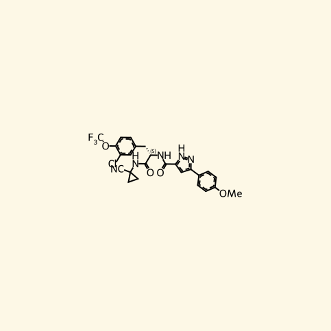 COc1ccc(-c2cc(C(=O)N[C@@H](Cc3ccc(OC(F)(F)F)c(Cl)c3)C(=O)NC3(C#N)CC3)[nH]n2)cc1